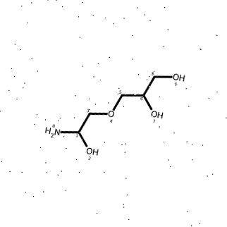 NC(O)COCC(O)CO